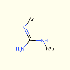 CCCCN/C(N)=N\C(C)=O